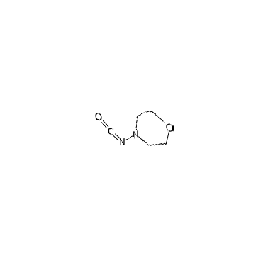 O=C=NN1CCOCC1